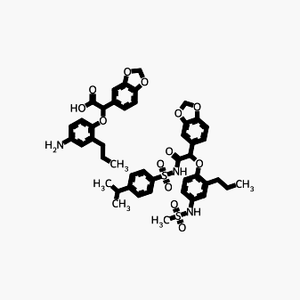 CCCc1cc(N)ccc1OC(C(=O)O)c1ccc2c(c1)OCO2.CCCc1cc(NS(C)(=O)=O)ccc1OC(C(=O)NS(=O)(=O)c1ccc(C(C)C)cc1)c1ccc2c(c1)OCO2